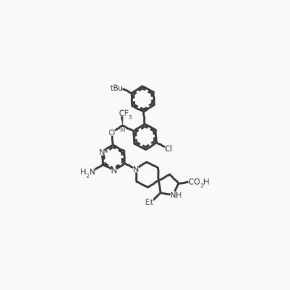 CCC1NC(C(=O)O)CC12CCN(c1cc(O[C@H](c3ccc(Cl)cc3-c3cccc(C(C)(C)C)c3)C(F)(F)F)nc(N)n1)CC2